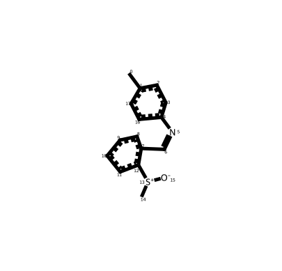 Cc1ccc(/N=C\c2ccccc2[S+](C)[O-])cc1